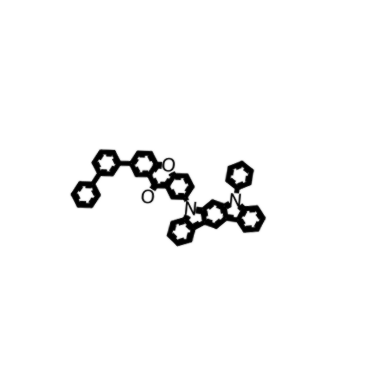 O=c1c2cc(-c3cccc(-c4ccccc4)c3)ccc2oc2ccc(-n3c4ccccc4c4cc5c6ccccc6n(-c6ccccc6)c5cc43)cc12